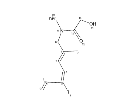 C=N/C(I)=C\C=C(/C)CN(CCC)C(=O)CO